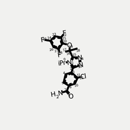 CC(C)n1c(-c2ccc(C(N)=O)cc2Cl)nnc1C(C)(C)Oc1c(F)cc(F)cc1F